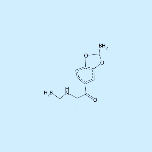 BCN[C@@H](C)C(=O)c1ccc2c(c1)OC(B)O2